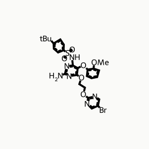 COc1ccccc1Oc1c(NS(=O)(=O)c2ccc(C(C)(C)C)cc2)nc(N)nc1OCCOc1ncc(Br)cn1